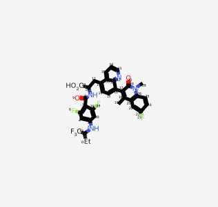 CCC(Nc1cc(F)c(C(=O)NC(Cc2ccc(-c3c(C)c4cc(F)ccc4n(C)c3=O)c3ncccc23)C(=O)O)c(F)c1)C(F)(F)F